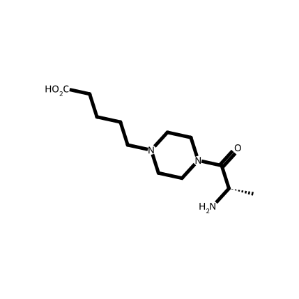 C[C@H](N)C(=O)N1CCN(CCCCC(=O)O)CC1